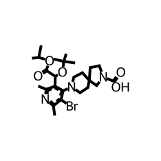 Cc1nc(C)c(C(OC(C)(C)C)C(=O)OC(C)C)c(N2CCC3(CCN(C(=O)O)C3)CC2)c1Br